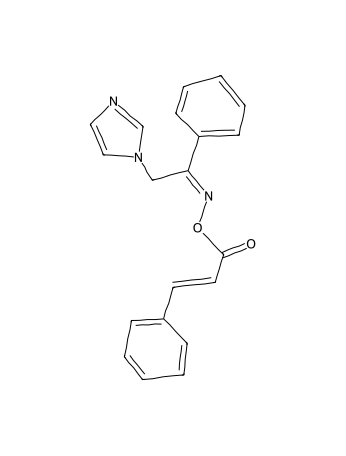 O=C(C=Cc1ccccc1)ON=C(Cn1ccnc1)c1ccccc1